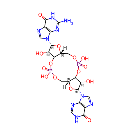 Nc1nc2c(ncn2[C@@H]2O[C@@H]3COP(=O)(O)OC4[C@@H](COP(=O)(O)OC3[C@@H]2O)O[C@@H](n2cnc3c(=O)[nH]cnc32)[C@H]4O)c(=O)[nH]1